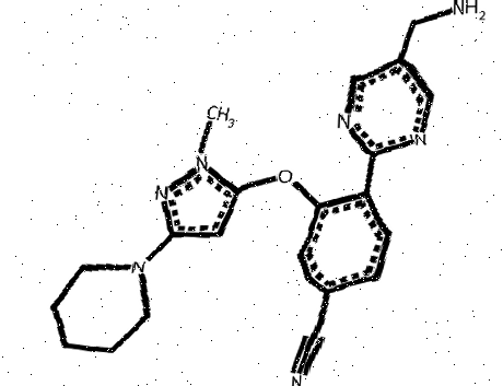 Cn1nc(N2CCCCC2)cc1Oc1cc(C#N)ccc1-c1ncc(CN)cn1